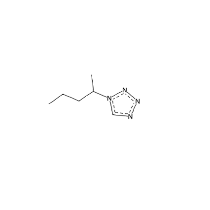 CCCC(C)n1cnnn1